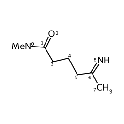 CNC(=O)CCCC(C)=N